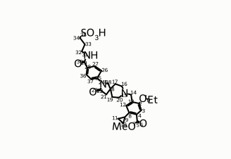 CCOc1cc(C(=O)OC)c(C2CC2)cc1CN1CCC2(CC1)CC(=O)N(c1ccc(C(=O)NCCCS(=O)(=O)O)cc1)C2